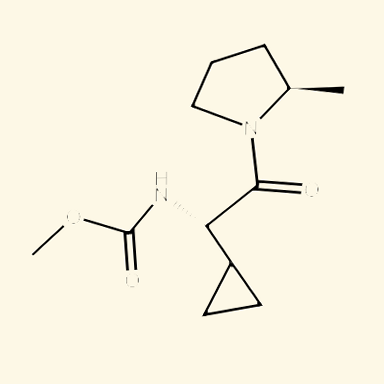 COC(=O)N[C@H](C(=O)N1CCC[C@H]1C)C1CC1